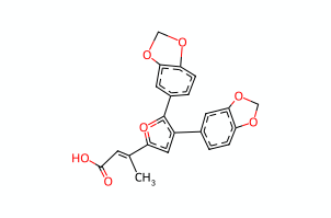 C/C(=C\C(=O)O)c1cc(-c2ccc3c(c2)OCO3)c(-c2ccc3c(c2)OCO3)o1